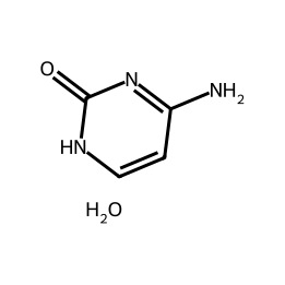 Nc1cc[nH]c(=O)n1.O